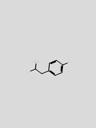 CCCCCCC(Br)Cc1ccc(C(C)=O)cc1